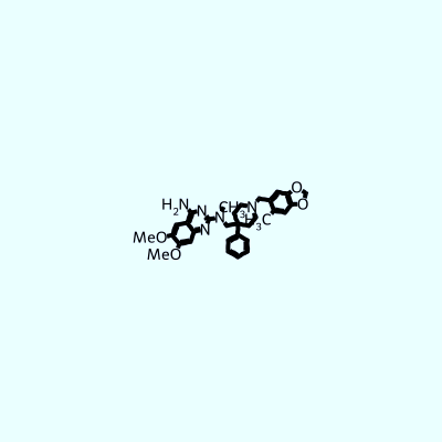 COc1cc2nc(N(C)CC3(c4ccccc4)CCN(Cc4cc5c(cc4C)OCO5)CC3)nc(N)c2cc1OC